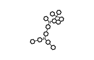 c1ccc(-c2ccc(N(c3ccc(-c4ccccc4)cc3)c3ccc(-c4ccc(N(c5ccccc5)c5cc6c7c(ccc8cccc(c87)C6(c6ccccc6)c6ccccc6)c5)cc4)cc3)cc2)cc1